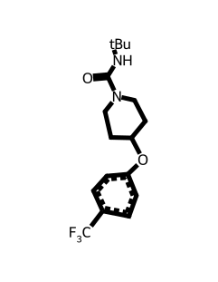 CC(C)(C)NC(=O)N1CCC(Oc2ccc(C(F)(F)F)cc2)CC1